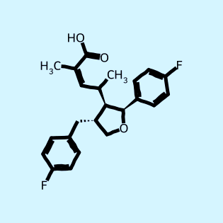 C/C(=C/C(C)[C@@H]1[C@@H](Cc2ccc(F)cc2)CO[C@@H]1c1ccc(F)cc1)C(=O)O